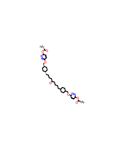 CCCC(=O)Oc1ccc(OCC2CCC(CCCCC(=O)CCCC[C@H]3CC[C@H](COc4ccc(OC(=O)CCC)nn4)CC3)CC2)nn1